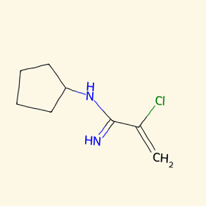 C=C(Cl)C(=N)NC1CCCC1